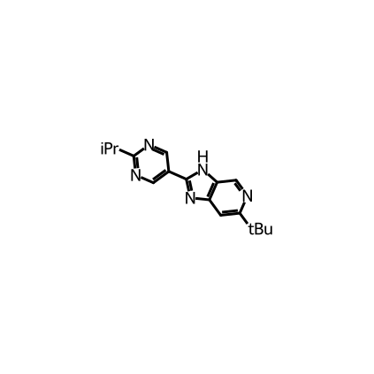 CC(C)c1ncc(-c2nc3cc(C(C)(C)C)ncc3[nH]2)cn1